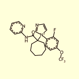 O=C(Nc1ccccn1)C1([N+]2(c3ccc(OC(F)(F)F)cc3F)C=CN=C2)CCCCCC1